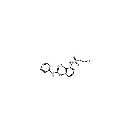 CCCS(=O)(=O)Nc1cccc(NC(=O)Nc2ncncn2)c1F